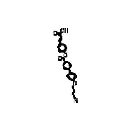 N#CCCCOc1ccc(-c2ccc(C(=O)Oc3ccc(/C=C/C(=O)O)cc3)cc2)cc1